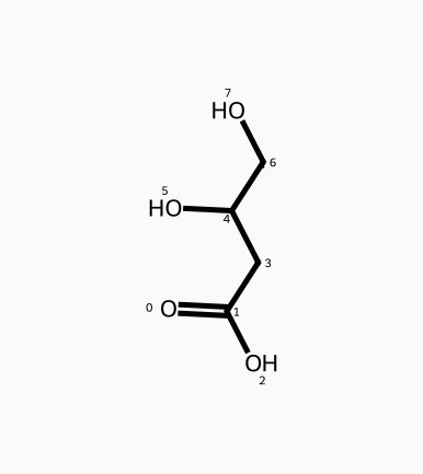 O=C(O)CC(O)[CH]O